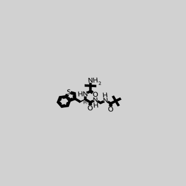 CC(C)(C)C(=O)NCNC(=O)[C@@H](Cc1csc2ccccc12)NC(=O)C(C)(C)N